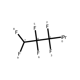 CC(C)C(F)(F)C(F)(F)C(F)F